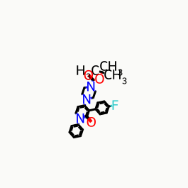 CC(C)(C)OC(=O)N1CCN(c2ccn(-c3ccccc3)c(=O)c2-c2ccc(F)cc2)CC1